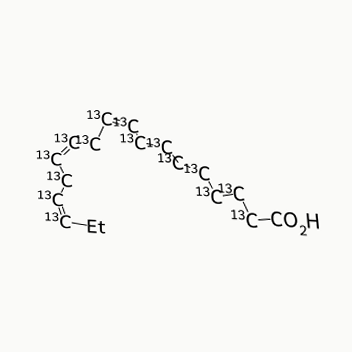 [13CH3][13CH2]/[13CH]=[13CH]\[13CH2]/[13CH]=[13CH]\[13CH2]/[13CH]=[13CH]\[13CH2][13CH2][13CH2][13CH2][13CH2][13CH2][13CH2][13C](=O)O